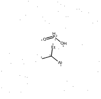 CC[CH](C)[Al].O=[PH2]O